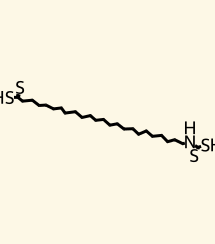 S=C(S)CCCCCCCCCCCCCCCCCCCCCCCNC(=S)S